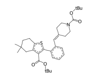 CC1(C)CCc2sc(-c3ccccc3C=C3CCN(C(=O)OC(C)(C)C)CC3)c(C(=O)OC(C)(C)C)c2C1